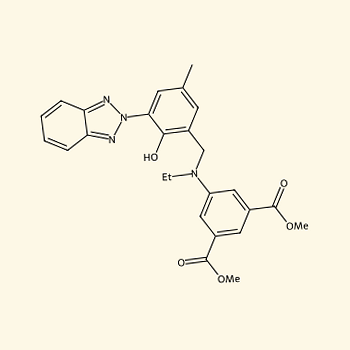 CCN(Cc1cc(C)cc(-n2nc3ccccc3n2)c1O)c1cc(C(=O)OC)cc(C(=O)OC)c1